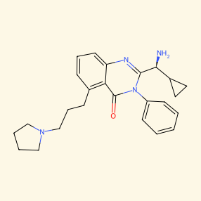 N[C@H](c1nc2cccc(CCCN3CCCC3)c2c(=O)n1-c1ccccc1)C1CC1